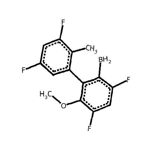 Bc1c(F)cc(F)c(OC)c1-c1cc(F)cc(F)c1C